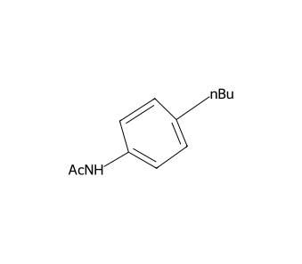 [CH2]C(=O)Nc1ccc(CCCC)cc1